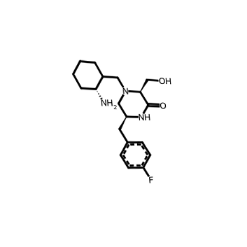 N[C@@H]1CCCCC1CN1C[C@H](Cc2ccc(F)cc2)NC(=O)[C@@H]1CO